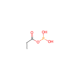 CCC(=O)OP(O)O